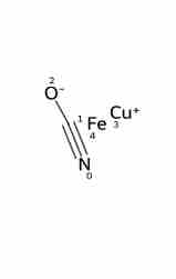 N#C[O-].[Cu+].[Fe]